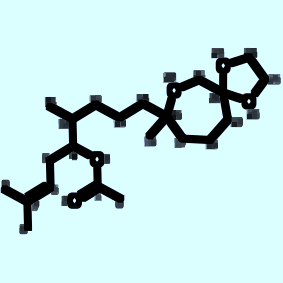 CC(=O)OC(CC=C(C)C)C(C)CCCC1(C)CCCC2(CO1)OCCO2